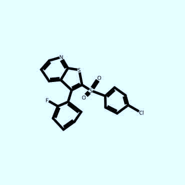 O=S(=O)(c1ccc(Cl)cc1)c1sc2ncccc2c1-c1ccccc1F